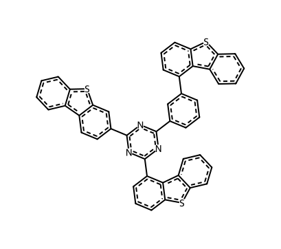 c1cc(-c2nc(-c3ccc4c(c3)sc3ccccc34)nc(-c3cccc4sc5ccccc5c34)n2)cc(-c2cccc3sc4ccccc4c23)c1